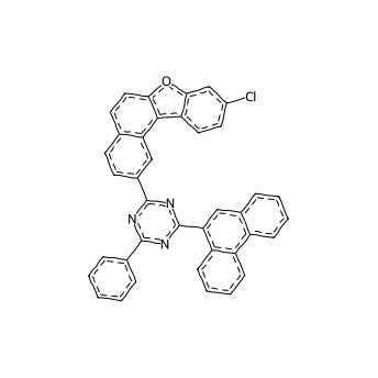 Clc1ccc2c(c1)oc1ccc3ccc(-c4nc(-c5ccccc5)nc(-c5cc6ccccc6c6ccccc56)n4)cc3c12